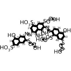 Nc1c(N=Nc2cc3c(O)cc(S(=O)(=O)O)cc3cc2SOOO)cc(S(=O)(=O)O)c2cc(SOOO)c(N=Nc3ccc4c(O)cc(SOOO)cc4c3SOOO)c(O)c12